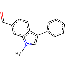 Cn1cc(-c2ccccc2)c2ccc(C=O)cc21